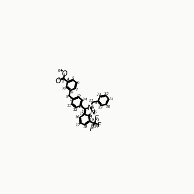 COC(=O)c1cccc(Cc2ccc(-c3c4cccc(C(F)(F)F)c4nn3Cc3ccccc3)cc2)c1